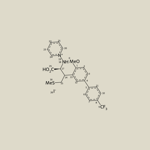 COc1ccc(-c2ccc(C(F)(F)F)cc2)cc1C(CSC)[C@H](N[n+]1ccccc1)C(=O)O.[I-]